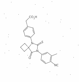 [C-]#[N+]c1ccc(N2C(=O)C3(CCC3)N(c3ccc(CC(=O)O)cc3)C2=S)cc1C